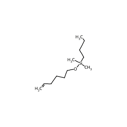 C=CCCCCO[Si](C)(C)CCCC